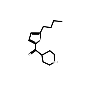 CCCCc1ccc(C(=O)C2CCNCC2)s1